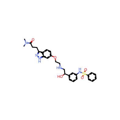 CN(C)C(=O)CCc1n[nH]c2cc(OCCNCC(O)c3cccc(NS(=O)(=O)c4ccccc4)c3)ccc12